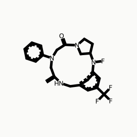 C=C1CN(c2ccccc2)CC(=O)N2CCC(C2)N(F)c2cc(cc(C(F)(F)F)c2)CN1